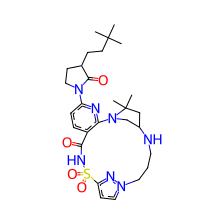 CC(C)(C)CCC1CCN(c2ccc3c(n2)N2CC(CC2(C)C)NCCCn2ccc(n2)S(=O)(=O)NC3=O)C1=O